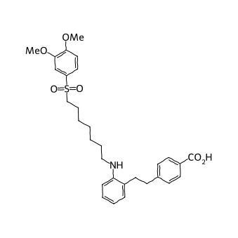 COc1ccc(S(=O)(=O)CCCCCCCNc2ccccc2CCc2ccc(C(=O)O)cc2)cc1OC